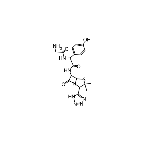 CC1(C)SC2C(NC(=O)C(NC(=O)CN)c3ccc(O)cc3)C(=O)N2C1c1nnn[nH]1